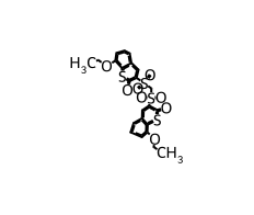 CCOc1cccc2cc(S(=O)(=O)CS(=O)(=O)c3cc4cccc(OCC)c4sc3=O)c(=O)sc12